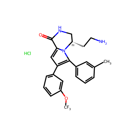 Cc1cccc(-c2c(-c3cccc(OC(F)(F)F)c3)cc3n2[C@@H](CCN)CNC3=O)c1.Cl